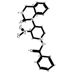 O=C(ON1CCC(N2C(=O)OCc3ccccc32)C([N+](=O)[O-])C1)c1ccccc1